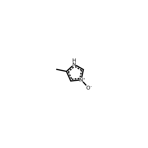 Cc1c[n+]([O-])c[nH]1